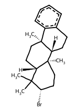 CC1(C)[C@@H](Br)CC[C@]2(C)[C@H]3CCc4ccccc4[C@]3(C)CC[C@@H]12